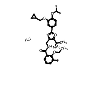 CCOc1c(F)cccc1C(=O)NCc1nc(-c2ccc(OC(F)F)c(OCC3CC3)c2)oc1C(C)N.Cl